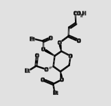 CCC(=O)O[C@@H]1[C@@H](OC(=O)CC)[C@@H](OC(=O)/C=C/C(=O)O)OC[C@H]1OC(=O)CC